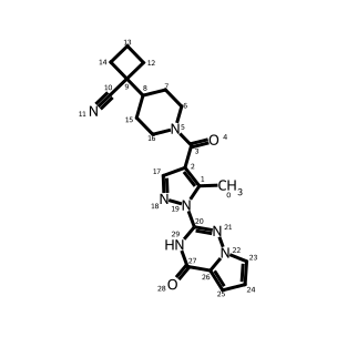 Cc1c(C(=O)N2CCC(C3(C#N)CCC3)CC2)cnn1-c1nn2cccc2c(=O)[nH]1